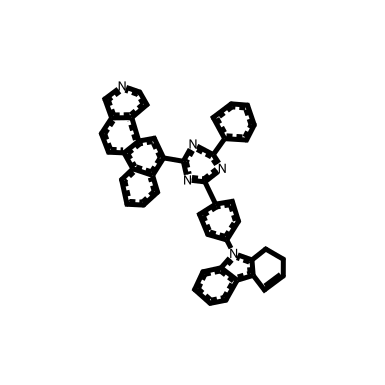 C1=Cc2c(n(-c3ccc(-c4nc(-c5ccccc5)nc(-c5cc6c7ccncc7ccc6c6ccccc56)n4)cc3)c3ccccc23)CC1